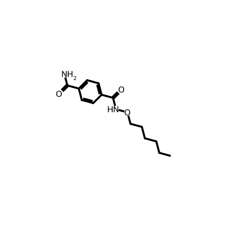 CCCCCCONC(=O)c1ccc(C(N)=O)cc1